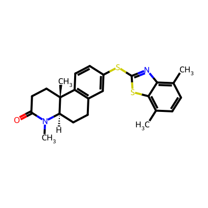 Cc1ccc(C)c2sc(Sc3ccc4c(c3)CC[C@H]3N(C)C(=O)CC[C@]43C)nc12